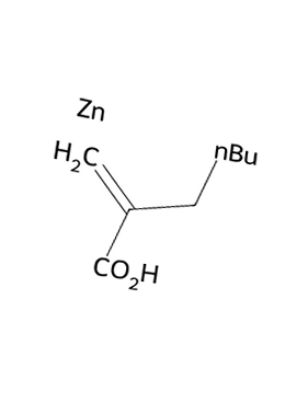 C=C(CCCCC)C(=O)O.[Zn]